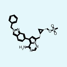 CS(=O)(=O)OC[C@H]1C[C@H]1Cc1cc(-c2ccc3cn(Cc4ccccc4)nc3c2)c2c(N)ncnn12